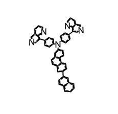 c1ccc2cc(-c3ccc4c(ccc5cc(N(c6ccc(-c7cncc8cccnc78)cc6)c6ccc(-c7cncc8cccnc78)cc6)ccc54)c3)ccc2c1